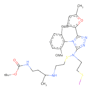 COc1cccc(OC)c1-n1c(-c2ccc(C)o2)nnc1N(CCSI)SCCNC(C)CCNC(=O)OC(C)(C)C